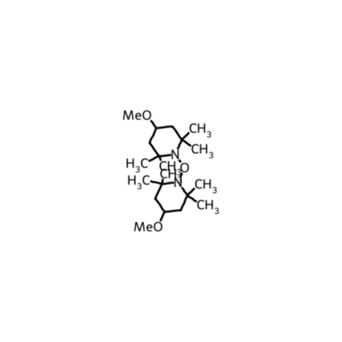 COC1CC(C)(C)N(ON2C(C)(C)CC(OC)CC2(C)C)C(C)(C)C1